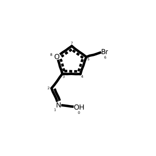 O/N=C\c1cc(Br)co1